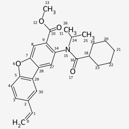 C=Cc1ccc2oc3cc(C(=O)OC)c(N(C(=O)C4CCCCC4)C(C)C)cc3c2c1